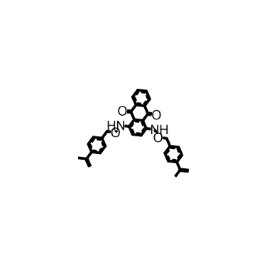 C=C(C)c1ccc(CONc2ccc(NOCc3ccc(C(=C)C)cc3)c3c2C(=O)c2ccccc2C3=O)cc1